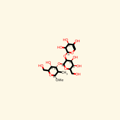 CO[C@@H]1OC(CO)[C@H](O)[C@H](O[C@@H]2OC(CO)[C@H](O)[C@H](O)C2O[C@@H]2OC=C(O)[C@H](O)C2O)C1C